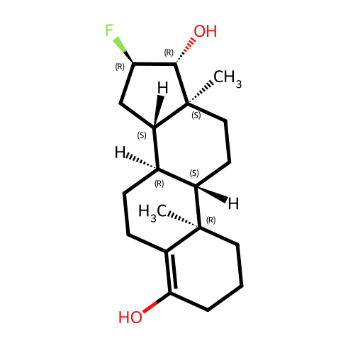 C[C@]12CC[C@H]3[C@@H](CCC4=C(O)CCC[C@@]43C)[C@@H]1C[C@@H](F)[C@@H]2O